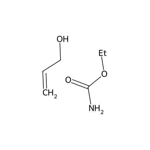 C=CCO.CCOC(N)=O